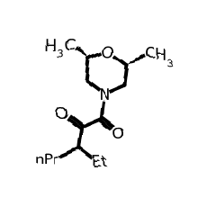 CCCC(CC)C(=O)C(=O)N1C[C@@H](C)O[C@@H](C)C1